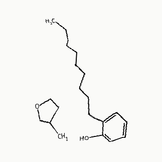 CC1CCOC1.CCCCCCCCCc1ccccc1O